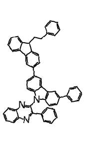 c1ccc(CCC2c3ccccc3-c3cc(-c4ccc5c(c4)c4cc(-c6ccccc6)ccc4n5-c4nc5ccccc5nc4-c4ccccc4)ccc32)cc1